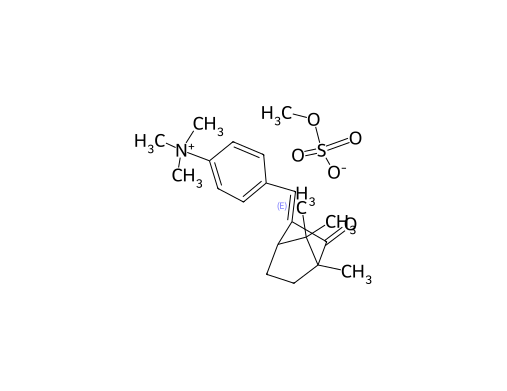 CC12CCC(/C(=C\c3ccc([N+](C)(C)C)cc3)C1=O)C2(C)C.COS(=O)(=O)[O-]